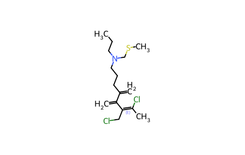 C=C(CCCN(CCC)CSC)C(=C)/C(CCl)=C(/C)Cl